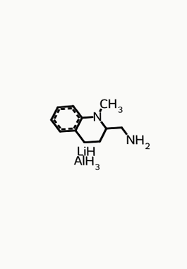 CN1c2ccccc2CCC1CN.[AlH3].[LiH]